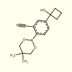 CC1(C)COB(c2ccc(C3(O)CCC3)cc2C#N)OC1